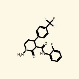 NN1CCC(c2ccc(C(F)(F)F)cc2)C(C(=O)Nc2ccccc2F)C1=O